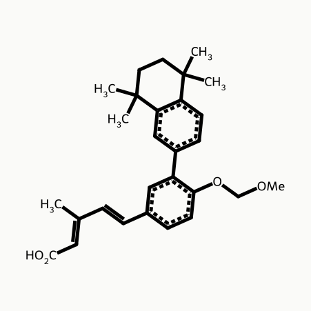 COCOc1ccc(C=CC(C)=CC(=O)O)cc1-c1ccc2c(c1)C(C)(C)CCC2(C)C